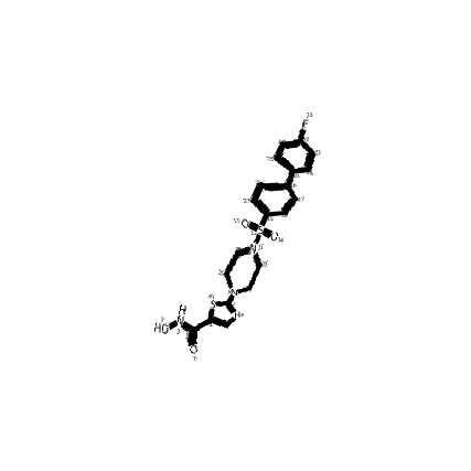 O=C(NO)c1cnc(N2CCN(S(=O)(=O)c3ccc(-c4ccc(F)cc4)cc3)CC2)s1